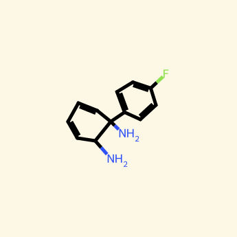 NC1C=CC=CC1(N)c1ccc(F)cc1